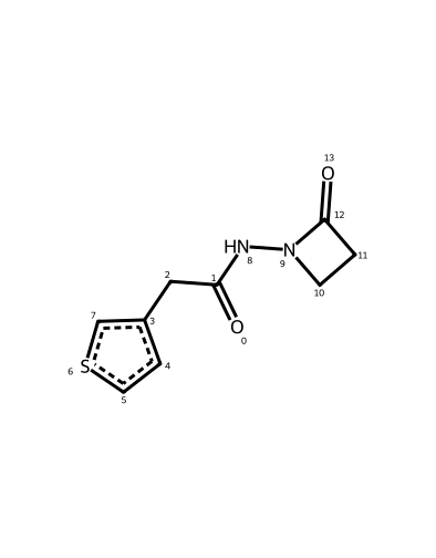 O=C(Cc1ccsc1)NN1CCC1=O